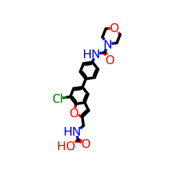 O=C(O)NCc1cc2cc(-c3ccc(NC(=O)N4CCOCC4)cc3)cc(Cl)c2o1